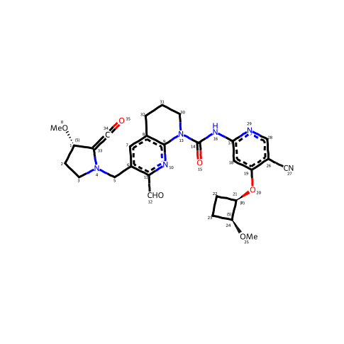 CO[C@H]1CCN(Cc2cc3c(nc2C=O)N(C(=O)Nc2cc(O[C@@H]4CC[C@@H]4OC)c(C#N)cn2)CCC3)C1=C=O